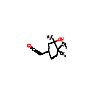 CC1(C)CCC(C=C=O)CC1(C)O